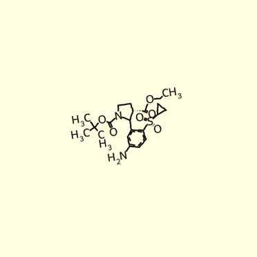 CCOC(=O)[C@H]1CCN(C(=O)OC(C)(C)C)C1c1cc(N)ccc1S(=O)(=O)C1CC1